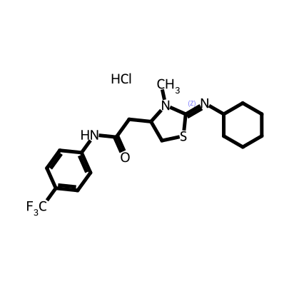 CN1/C(=N/C2CCCCC2)SCC1CC(=O)Nc1ccc(C(F)(F)F)cc1.Cl